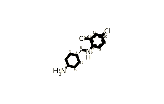 N[C@H]1CC[C@H](CNc2ccc(Cl)cc2Cl)CC1